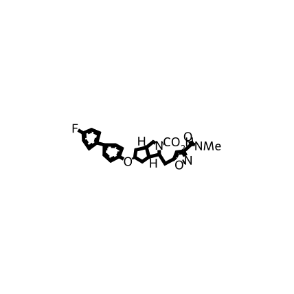 CNC(=O)c1cc(CC2[C@H]3C[C@@H](Oc4ccc(-c5ccc(F)cc5)cc4)C[C@H]3CN2C(=O)O)on1